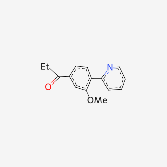 CCC(=O)c1ccc(-c2ccccn2)c(OC)c1